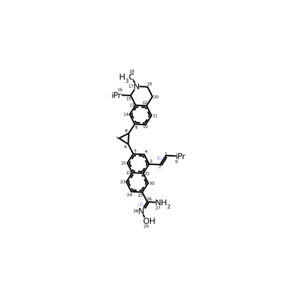 CC(C)/C=C/c1cc(C2CC2c2ccc3c(c2)C(C(C)C)N(C)CC3)cc2ccc(/C(N)=N/O)cc12